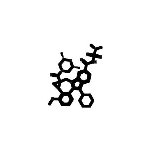 COc1cccc2c1C1CC1(C(=O)N1C[C@@H](C)O[C@@H](C)C1)Cn1c-2c(C2CCCCC2)c2ccc(C(=O)NS(=O)(=O)N(C)C)cc21